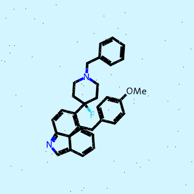 COc1ccc(CC2=C(C3(F)CCN(Cc4ccccc4)CC3)C=CC3=NC=C4C=CC=CC432)cc1